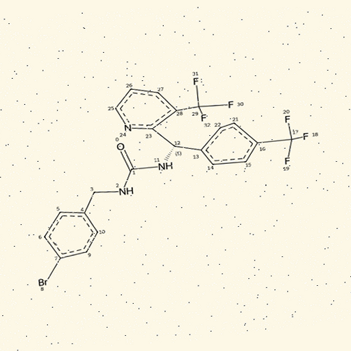 O=C(NCc1ccc(Br)cc1)N[C@@H](c1ccc(C(F)(F)F)cc1)c1ncccc1C(F)(F)F